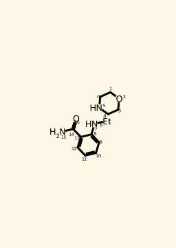 C1COCCN1.CCNc1ccccc1C(N)=O